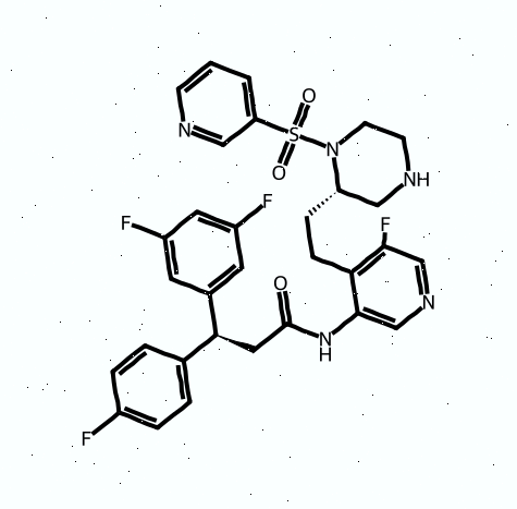 O=C(C[C@@H](c1ccc(F)cc1)c1cc(F)cc(F)c1)Nc1cncc(F)c1CC[C@H]1CNCCN1S(=O)(=O)c1cccnc1